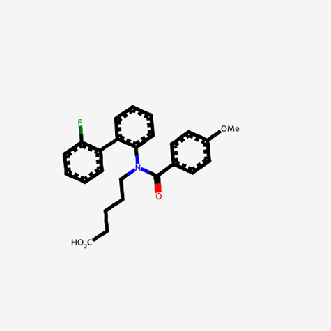 COc1ccc(C(=O)N(CCCCC(=O)O)c2ccccc2-c2ccccc2F)cc1